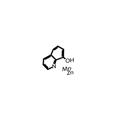 Oc1cccc2cccnc12.[Mn].[Zn]